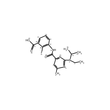 CCN(c1nc(C)cc(C(=O)Nc2cccc(C(=O)O)c2F)n1)C(C)C